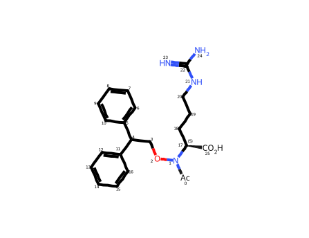 CC(=O)N(OCC(c1ccccc1)c1ccccc1)[C@@H](CCCNC(=N)N)C(=O)O